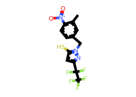 Cc1cc(Cn2nc(C(F)(F)C(F)(F)F)cc2S)ccc1[N+](=O)[O-]